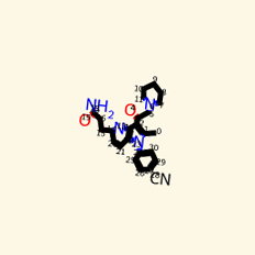 Cc1c(C(=O)CN2CCCCC2)c2nc(CCC(N)=O)ccc2n1-c1ccc(C#N)cc1